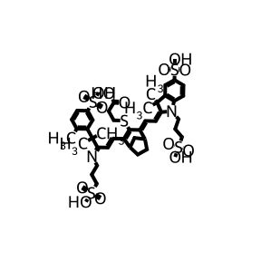 Cc1ccc(S(=O)(=O)O)cc1C(C)(C)C(/C=C/C1=C(SCCC(=O)O)C(=C/C=C2/N(CCCS(=O)(=O)O)c3ccc(S(=O)(=O)O)cc3C2(C)C)/C2CCC1C2)=N/CCCS(=O)(=O)O